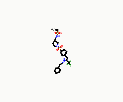 C=CS(=O)(=O)NCC1CCN(S(=O)(=O)c2ccc(CC(NCCc3ccccc3)C(F)(F)F)cc2)C1